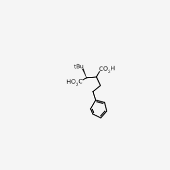 CC(C)(C)[C@H](C(=O)O)C(CCc1ccccc1)C(=O)O